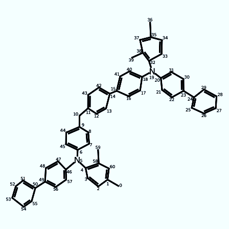 Cc1ccc(N(c2ccc(Cc3ccc(-c4ccc(N(c5ccc(-c6ccccc6)cc5)c5ccc(C)cc5C)cc4)cc3)cc2)c2ccc(-c3ccccc3)cc2)c(C)c1